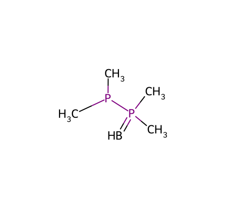 B=P(C)(C)P(C)C